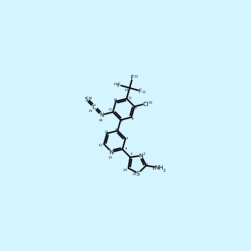 Nc1nc(-c2cc(-c3cc(Cl)c(C(F)(F)F)cc3N=C=S)ccn2)cs1